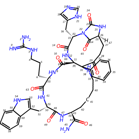 N=C(N)NCCC[C@@H]1NC(=O)[C@@H]2NC(=O)[C@H](Cc3cnc[nH]3)N3C(=O)N[C@@H](CCC(=O)C2(c2ccccc2)NCCCC[C@@H](C(N)=O)NC(=O)[C@H](Cc2c[nH]c4ccccc24)NC1=O)C3=O